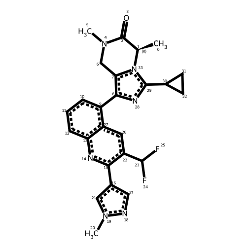 C[C@@H]1C(=O)N(C)Cc2c(-c3cccc4nc(-c5cnn(C)c5)c(C(F)F)cc34)nc(C3CC3)n21